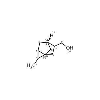 CC1C2C[C@H]3C[C@]12CC3CO